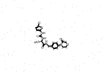 CCC[C@@H](NC(=O)Nc1ccc(Cl)s1)C(=O)NCc1ccc(N2CCOCC2=O)cc1